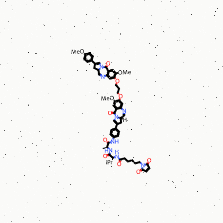 COc1ccc(C2=CN3C(=O)c4cc(OC)c(OCCCOc5cc6c(cc5OC)C(=O)N5C=C(c7ccc(NC(=O)[C@H](C)NC(=O)[C@@H](NC(=O)CCCCCN8C(=O)C=CC8=O)C(C)C)cc7)C[C@H]5C=N6)cc4N=CC3C2)cc1